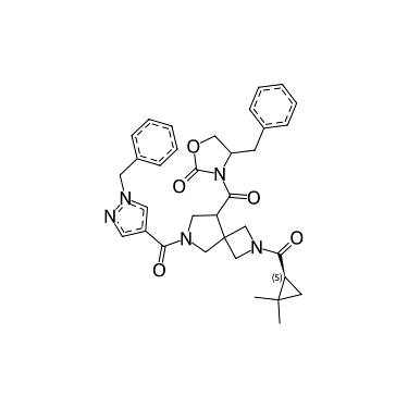 CC1(C)C[C@@H]1C(=O)N1CC2(CN(C(=O)c3cnn(Cc4ccccc4)c3)CC2C(=O)N2C(=O)OCC2Cc2ccccc2)C1